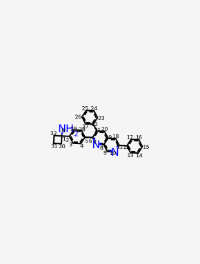 NC1(c2ccc(-c3nc4cnc(-c5ccccc5)cc4cc3-c3ccccc3)cc2)CCC1